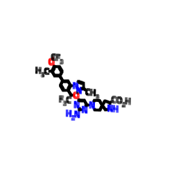 Cc1ccn(-c2cc(-c3ccc(OC(F)(F)F)c(C)c3)ccc2[C@@H](Oc2cc(N3CCC4(CC3)CN[C@H](C(=O)O)C4)nc(N)n2)C(F)(F)F)n1